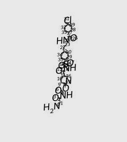 NCC(=O)NC(=O)Oc1ccc(C(=O)NS(=O)(=O)c2ccc(CCNC(=O)c3ccc(Cl)cc3)cc2)cn1